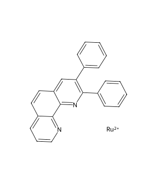 [Ru+2].c1ccc(-c2cc3ccc4cccnc4c3nc2-c2ccccc2)cc1